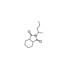 [CH2]C(CCC)N1C(=O)C2CCCCC2C1=O